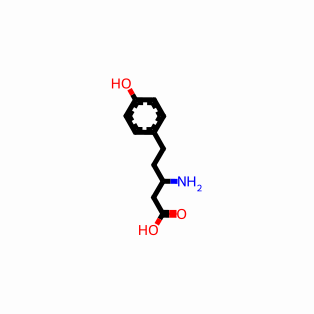 NC(CCc1ccc(O)cc1)CC(=O)O